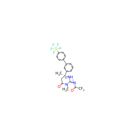 CN1C(=O)C[C@@](C)(c2cccc(-c3ccc(S(F)(F)(F)(F)F)cc3)c2)N/C1=N/C(=O)C(F)(F)F